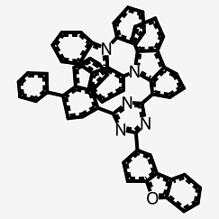 c1ccc(-c2ccc(-c3nc(-c4ccc5oc6ccccc6c5c4)nc(-c4cccc5c6ccccc6n(-c6cccc7c8ccccc8n(-c8ccccc8)c67)c45)n3)c3ccccc23)cc1